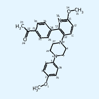 COc1ccc(N2CCN(c3ccc(OC)nc3-c3ccc(C(C)=O)cc3)CC2)cc1